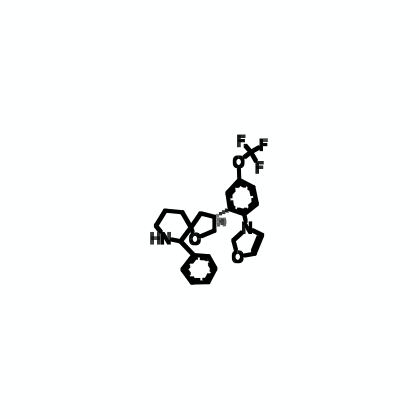 FC(F)(F)Oc1ccc(N2C=COC2)c([C@@H]2COC3(CCCNC3c3ccccc3)C2)c1